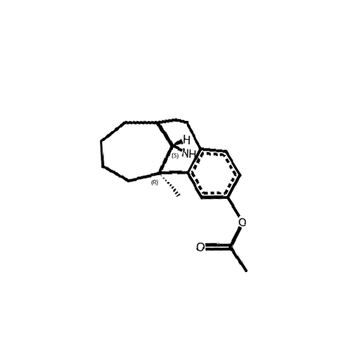 CC(=O)Oc1ccc2c(c1)[C@@]1(C)CCCCC(C2)[C@@H]1N